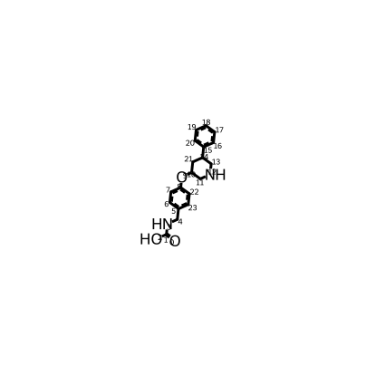 O=C(O)NCc1ccc(OC2CNCC(c3ccccc3)C2)cc1